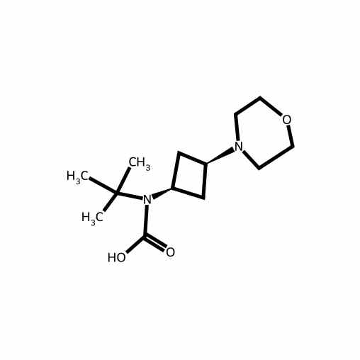 CC(C)(C)N(C(=O)O)[C@H]1C[C@@H](N2CCOCC2)C1